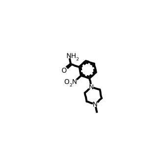 CN1CCN(c2cccc(C(N)=O)c2[N+](=O)[O-])CC1